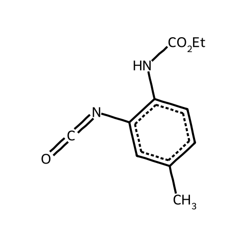 CCOC(=O)Nc1ccc(C)cc1N=C=O